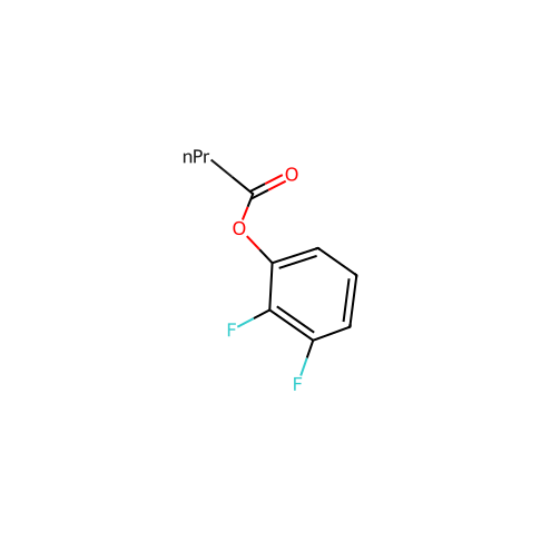 CCCC(=O)Oc1cccc(F)c1F